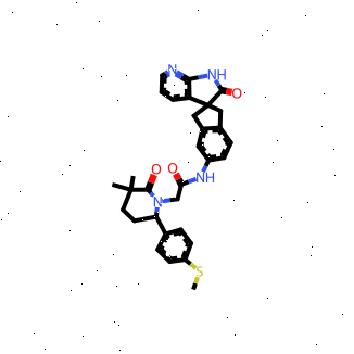 CSc1ccc(C2CCC(C)(C)C(=O)N2CC(=O)Nc2ccc3c(c2)CC2(C3)C(=O)Nc3ncccc32)cc1